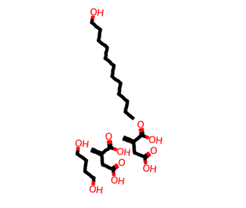 C=C(CC(=O)O)C(=O)O.C=C(CC(=O)O)C(=O)O.CCCCCCCCCCCCO.OCCCCO